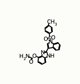 Cc1ccc(S(=O)(=O)n2cc(-c3nc4c(OC(N)=O)cccc4[nH]3)c3ccccc32)cc1